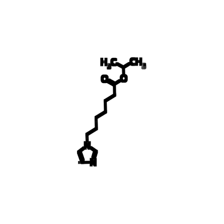 CC(C)OC(=O)CCCCCCn1c[c]nc1